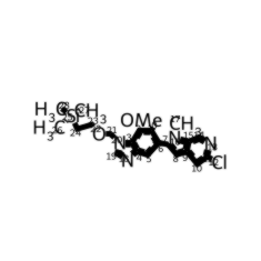 COc1cc2c(cc1-c1cc3cc(Cl)ncc3n1C)ncn2COCC[Si](C)(C)C